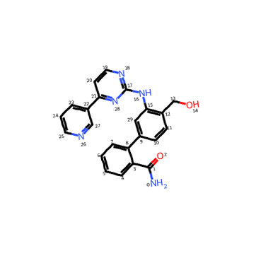 NC(=O)c1ccccc1-c1ccc(CO)c(Nc2nccc(-c3cccnc3)n2)c1